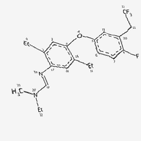 CCc1cc(Oc2ccc(F)c(CC(F)(F)F)c2)c(CC)cc1N=CN(C)CC